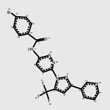 O=C(Nc1ccc(-n2nc(-c3cccnc3)cc2C(F)(F)F)nn1)c1ccc(Br)cc1